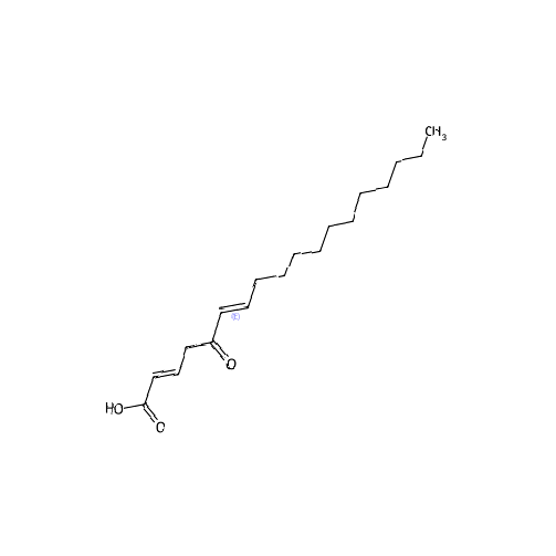 CCCCCCCCCCC/C=C/C(=O)CC=CC(=O)O